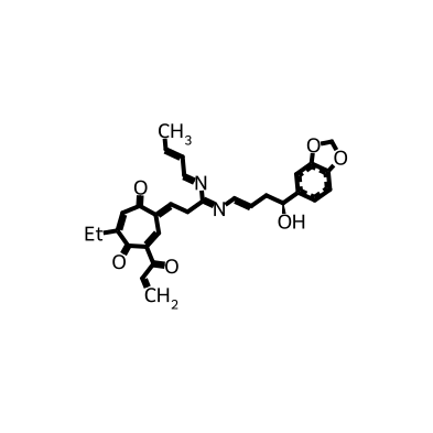 C=CC(=O)C1=C/C(=C\CC(=N/C=C/C[C@H](O)c2ccc3c(c2)OCO3)/N=C/C=C/C)C(=O)C=C(CC)C1=O